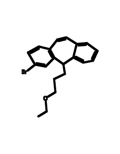 CCOCCCC1c2ccccc2C=Cc2ccc(Br)cc21